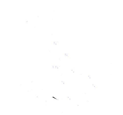 COc1cc(-n2cnc(Nc3nc(N4CCC[C@H]4CO[Si](C)(C)C(C)(C)C)c4c(C)nn(CC5CC5)c4n3)c2)cc(C)c1C